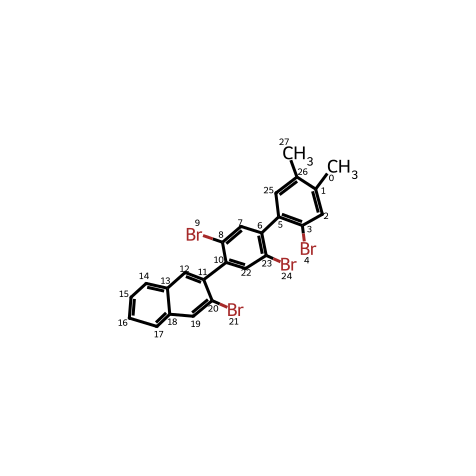 Cc1cc(Br)c(-c2cc(Br)c(-c3cc4ccccc4cc3Br)cc2Br)cc1C